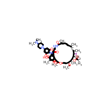 CO[C@H]1/C=C/O[C@@]2(C)Oc3c(C)c(O)c4c(=O)c(c5oc6cc(N7CCC(N(C)C)CC7)cc(O)c6nc-5c4c3C2=O)NC(=O)/C(C)=C\C=C\[C@H](C)C[C@@H](C)[C@@H](I)[C@@H](C)[C@H](OC(C)=O)[C@@H]1C